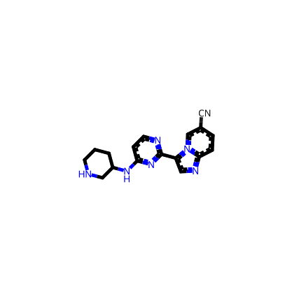 N#Cc1ccc2ncc(-c3nccc(NC4CCCNC4)n3)n2c1